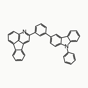 c1ccc(-n2c3ccccc3c3cc(-c4cccc(-c5cc6c7c(cccc7n5)-c5ccccc5-6)c4)ccc32)cc1